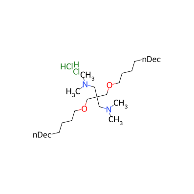 CCCCCCCCCCCCCCOCC(COCCCCCCCCCCCCCC)(CN(C)C)CN(C)C.Cl.Cl